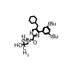 CC(C)(O)CNC(=O)c1ncc(CC2CCCCC2)c(-c2cc(C(C)(C)C)cc(C(C)(C)C)c2)n1